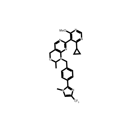 COc1ncnc(C2CC2)c1-c1ncc2c(n1)N(Cc1ccc(-c3nc(C(F)(F)F)cn3C)cc1)C(C)OC2